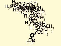 CC[C@H](NC(=O)C([C@H](OC(C)=O)[C@H](C)CCCc1cccc(C(=O)OC)c1)N(C)C(=O)CC(C)C)C(=O)N(C)CC(=O)N(C)[C@@H](CC(C)C)C(=O)N[C@H](C(=O)N(C)[C@@H](CC(C)C)C(=O)N[C@H](C)C(=O)N[C@@H](C)C(=O)N(C)[C@@H](CC(C)C)C(=O)N(C)CC(=O)NC)C(C)C